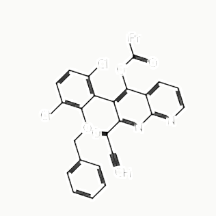 C#CC(=O)c1nc2ncccc2c(OC(=O)C(C)C)c1-c1c(Cl)ccc(Cl)c1OCc1ccccc1